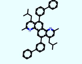 Cc1cc(CC(C)C)c2c(-c3cccc(-c4ccccc4)c3)cc3c(cc(-c4cccc(-c5ccccc5)c4)c4c(CC(C)C)cc(C)nc43)c2n1